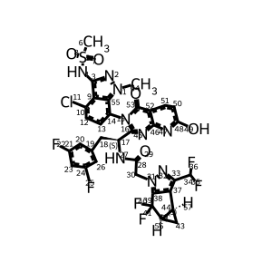 Cn1nc(NS(C)(=O)=O)c2c(Cl)ccc(-n3c([C@H](Cc4cc(F)cc(F)c4)NC(=O)Cn4nc(C(F)F)c5c4C(F)(F)[C@@H]4C[C@H]54)nc4nc(O)ccc4c3=O)c21